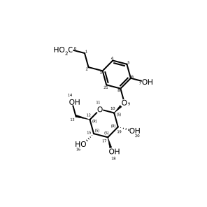 O=C(O)CCc1ccc(O)c(O[C@@H]2O[C@H](CO)[C@@H](O)[C@H](O)[C@H]2O)c1